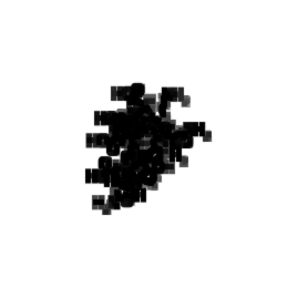 NCCCC[C@H](NC(=O)[C@H](Cc1ccc(O)cc1)NC(=O)[C@@H](N)CC(N)=O)C(=O)N[C@@H](CCC(=O)O)C(=O)N[C@@H](CC(=O)O)C(=O)N[C@@H](CCC(=O)O)C(=O)N[C@@H](Cc1ccc(O)cc1)C(=O)N[C@@H](Cc1ccccc1)C(=O)N[C@@H](CCC(=O)O)C(=O)N[C@@H](CC(N)=O)C(=O)O